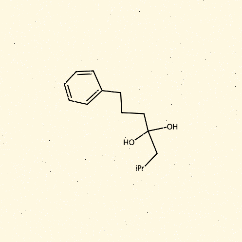 CC(C)CC(O)(O)CCCc1ccccc1